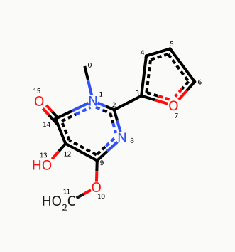 Cn1c(-c2ccco2)nc(OC(=O)O)c(O)c1=O